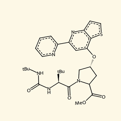 COC(=O)C1C[C@@H](Oc2cc(-c3ccccn3)nc3ccsc23)CN1C(=O)[C@@H](NC(=O)NC(C)(C)C)C(C)(C)C